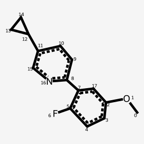 COc1ccc(F)c(-c2ccc(C3CC3)cn2)c1